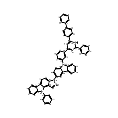 c1ccc(-c2ccc(C3=NC(c4cccc(-n5c6ccccc6c6cc(-n7ncc8c7ccc7c9ccccc9n(-c9ccccc9)c78)ccc65)c4)=NC(c4ccccc4)N3)cc2)cc1